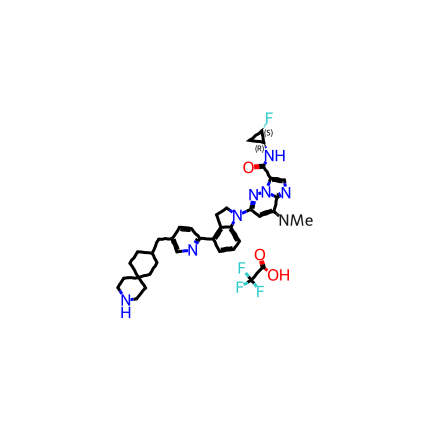 CNc1cc(N2CCc3c(-c4ccc(CC5CCC6(CCNCC6)CC5)cn4)cccc32)nn2c(C(=O)N[C@@H]3C[C@@H]3F)cnc12.O=C(O)C(F)(F)F